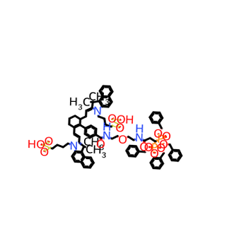 CC1(C)C(/C=C/C2=C(c3ccc(C(=O)NCCOCCNC(=O)CC(P(=O)(OCc4ccccc4)OCc4ccccc4)P(=O)(OCc4ccccc4)OCc4ccccc4)cc3)C(C/C=C3\N(CCCCS(=O)(=O)O)c4ccc5ccccc5c4C3(C)C)CCC2)=[N+](CCCCS(=O)(=O)O)c2ccc3ccccc3c21